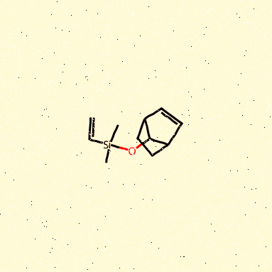 C=C[Si](C)(C)OC1C2C=CC1CC2